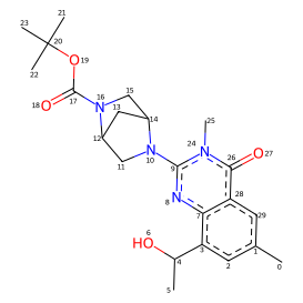 Cc1cc(C(C)O)c2nc(N3CC4CC3CN4C(=O)OC(C)(C)C)n(C)c(=O)c2c1